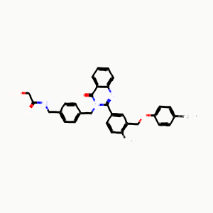 COc1ccc(-c2nc3ccccc3c(=O)n2Cc2ccc(CNC(=O)CO)cc2)cc1COc1ccc(NC(C)=O)cc1